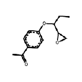 CCC(Oc1ccc(C(C)=O)cc1)C1CO1